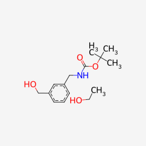 CC(C)(C)OC(=O)NCc1cccc(CO)c1.CCO